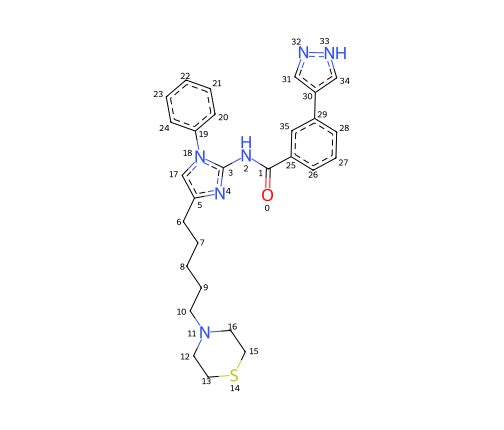 O=C(Nc1nc(CCCCCN2CCSCC2)cn1-c1ccccc1)c1cccc(-c2cn[nH]c2)c1